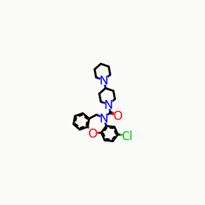 O=C(N1CCC(N2CCCCC2)CC1)N1Cc2ccccc2Oc2ccc(Cl)cc21